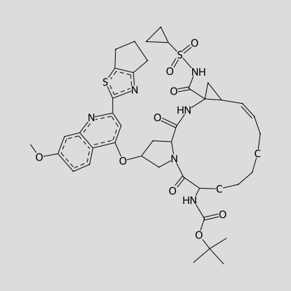 COc1ccc2c(OC3CC4C(=O)NC5(C(=O)NS(=O)(=O)C6CC6)CC5C=CCCCCCC(NC(=O)OC(C)(C)C)C(=O)N4C3)cc(-c3nc4c(s3)CCC4)nc2c1